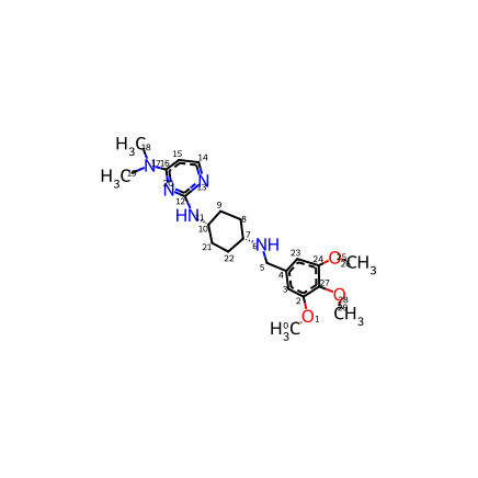 COc1cc(CN[C@H]2CC[C@@H](Nc3nccc(N(C)C)n3)CC2)cc(OC)c1OC